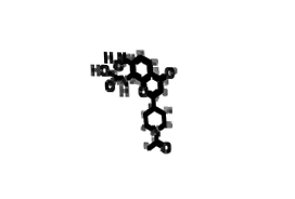 CC(=O)N1CCC(c2cc(=O)c3ccc(N)c(NS(=O)(=O)O)c3o2)CC1